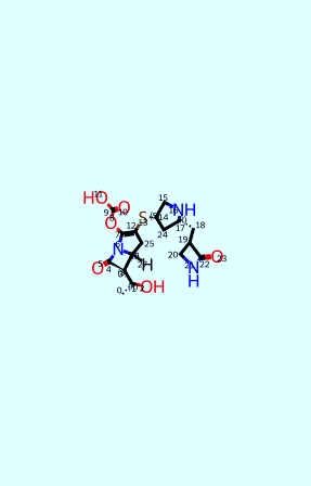 C[C@@H](O)[C@H]1C(=O)N2C(OC(=O)O)=C(S[C@@H]3CN[C@H](CC4CNC4=O)C3)C[C@H]12